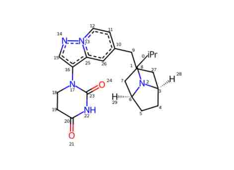 CC(C)CN1[C@@H]2CC[C@H]1CC(Cc1ccn3ncc(N4CCC(=O)NC4=O)c3c1)C2